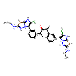 CC(C)CNc1nn2c(-c3cccc(C(C)C(=O)C(C)c4cccc(-c5c(Cl)nc6sc(NCC(C)C)nn56)c4)c3)c(Cl)nc2s1